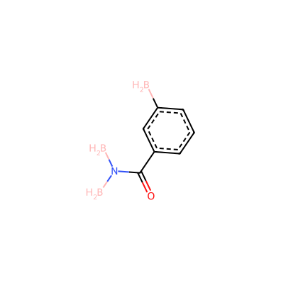 Bc1cccc(C(=O)N(B)B)c1